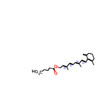 C=C1CCCC(C)=C1/C=C/C(C)=C/C=C/C(C)=C/COC(=O)CCCC(=O)O